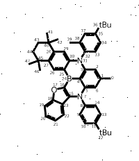 Cc1cc2c3c(c1)N(c1ccc(C(C)(C)C)cc1)c1c(oc4ccccc14)B3c1cc3c(cc1N2c1ccc(C(C)(C)C)cc1C)C(C)(C)CCC3(C)C